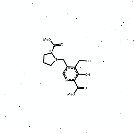 COC(=O)c1ncc(CN2CCC[C@H]2C(=O)OC)c(CO)c1O